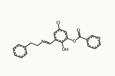 O=C(Oc1cc(Cl)cc(C=NCCc2ccccc2)c1O)c1cccnc1